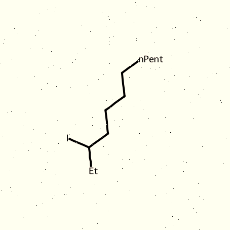 [CH2]CC(I)CCCCCCCCC